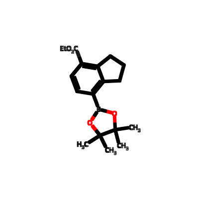 CCOC(=O)c1ccc(B2OC(C)(C)C(C)(C)O2)c2c1CCC2